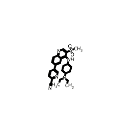 CCN(CC)C1CCC(Nc2c(S(C)(=O)=O)cnc3ccc(-c4ccc(C#N)nc4)cc23)CC1